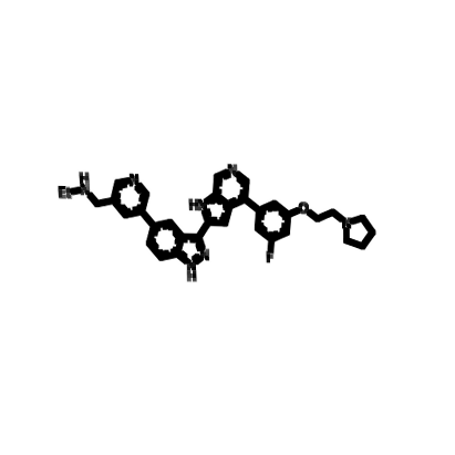 CCNCc1cncc(-c2ccc3[nH]nc(-c4cc5c(-c6cc(F)cc(OCCN7CCCC7)c6)cncc5[nH]4)c3c2)c1